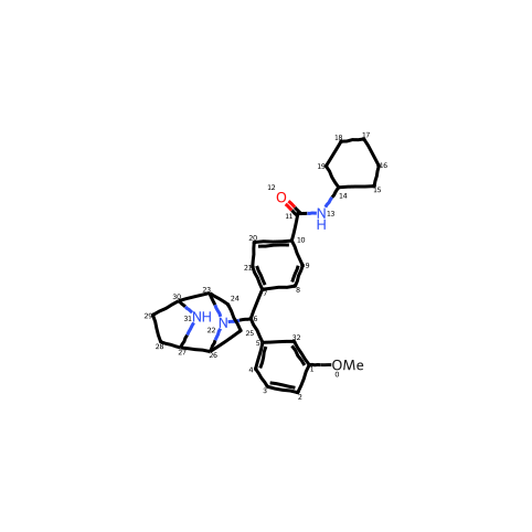 COc1cccc(C(c2ccc(C(=O)NC3CCCCC3)cc2)N2C3CCC2C2CCC3N2)c1